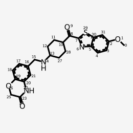 COc1ccc2nc(C(=O)C3CCC(NCc4ccc5c(c4)NC(=O)CO5)CC3)sc2c1